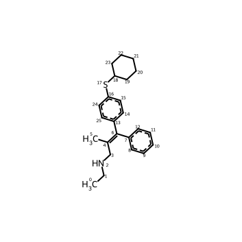 CCNCC(C)=C(c1ccccc1)c1ccc(SC2CCCCC2)cc1